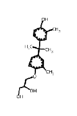 Cc1cc(C(C)(C)c2ccc(OCC(O)CO)c(C)c2)ccc1O